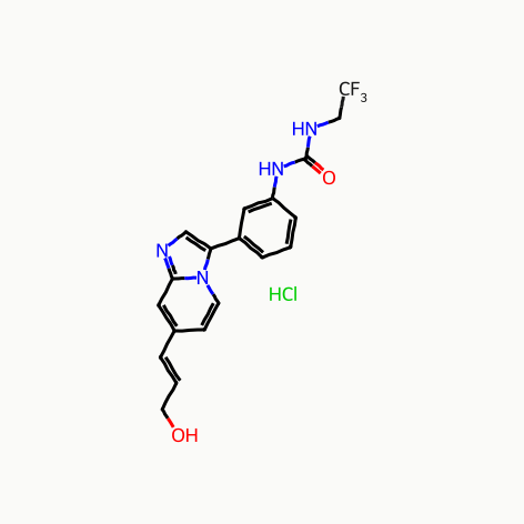 Cl.O=C(NCC(F)(F)F)Nc1cccc(-c2cnc3cc(/C=C/CO)ccn23)c1